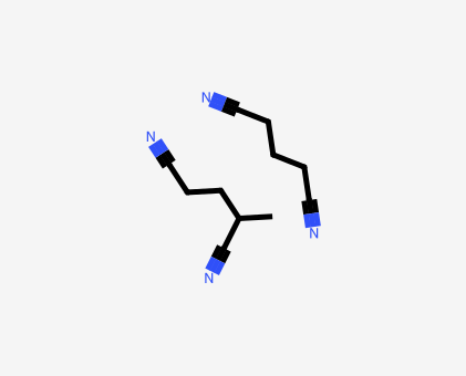 CC(C#N)CCC#N.N#CCCCC#N